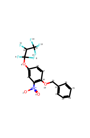 O=[N+]([O-])c1cc(OC(F)(F)C(F)C(F)(F)F)ccc1OCc1ccccc1